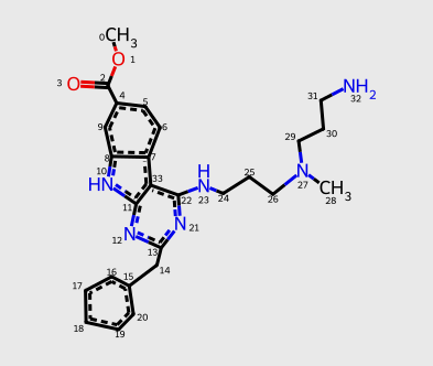 COC(=O)c1ccc2c(c1)[nH]c1nc(Cc3ccccc3)nc(NCCCN(C)CCCN)c12